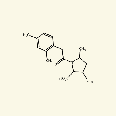 CCOC(=O)C1C(C)CC(C)N1C(=O)Cc1ccc(C)cc1C